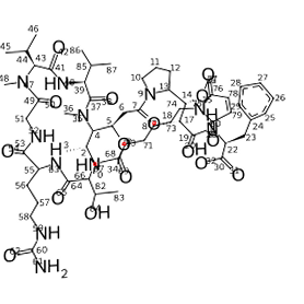 CC[C@H](C)C([C@@H](CC(=O)N1CCCC1[C@H](OC)[C@@H](C)C(=O)N[C@@H](Cc1ccccc1)C(=O)O)OC)N(C)C(=O)[C@@H](NC(=O)[C@H](C(C)C)N(C)C(=O)CNC(=O)C(CCCNC(N)=O)NC(=O)C(NC(=O)CCCCCN1C(=O)C=CC1=O)C(C)O)C(C)C